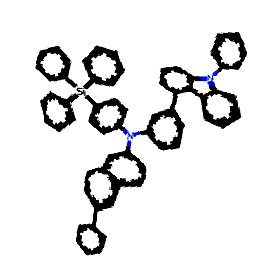 c1ccc(-c2ccc3cc(N(c4ccc([Si](c5ccccc5)(c5ccccc5)c5ccccc5)cc4)c4cccc(-c5cccc6c5c5ccccc5n6-c5ccccc5)c4)ccc3c2)cc1